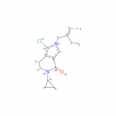 CC/C(=C\F)Cn1cc2c(c1Cl)CCN(C1CC1)C2=O